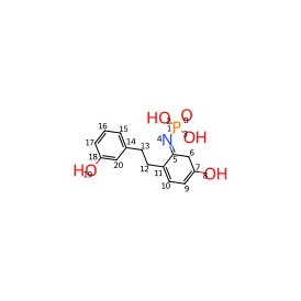 O=P(O)(O)N=C1CC(O)=CC=C1CCc1cccc(O)c1